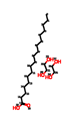 CCCCCCCCCCCCCCCCCC(=O)O.OCCO.OCCO